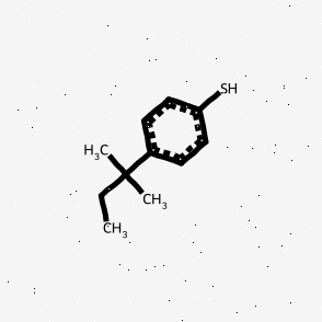 CCC(C)(C)c1ccc(S)cc1